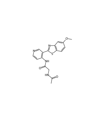 COc1ccc2sc(-c3cnccc3NC(=O)CNC(C)=O)nc2c1